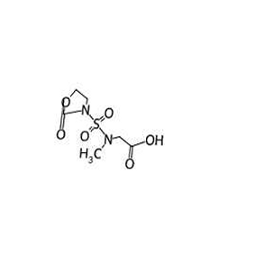 CN(CC(=O)O)S(=O)(=O)N1CCOC1=O